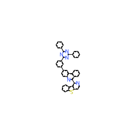 c1ccc(-c2nc(-c3ccccc3)nc(-c3cccc(-c4ccc5nc(-c6nccc7sc8ccccc8c67)c6ccccc6c5c4)c3)n2)cc1